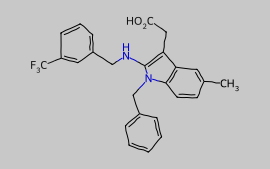 Cc1ccc2c(c1)c(CC(=O)O)c(NCc1cccc(C(F)(F)F)c1)n2Cc1ccccc1